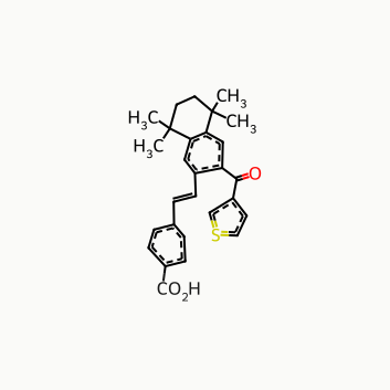 CC1(C)CCC(C)(C)c2cc(C(=O)c3ccsc3)c(C=Cc3ccc(C(=O)O)cc3)cc21